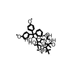 COc1ccc(C(c2ccccc2)(c2ccc(OC)cc2)C(O)[C@H]2O[C@@](CO)(N3CC(C)(C(O[SiH](C)C)C(C)(C)C)C(=O)NC3=O)C([SiH](C)C)[C@@]2(O)C(C)(C)C)cc1